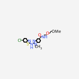 COCCOCCNC(=O)c1ccc2c(c1)nc(Nc1nc3ccc(Cl)cc3s1)n2C